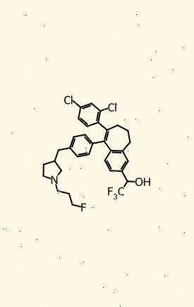 OC(c1ccc2c(c1)CCCC(c1ccc(Cl)cc1Cl)=C2c1ccc(CC2CCN(CCCF)C2)cc1)C(F)(F)F